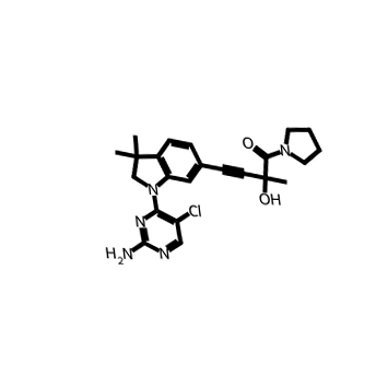 CC(O)(C#Cc1ccc2c(c1)N(c1nc(N)ncc1Cl)CC2(C)C)C(=O)N1CCCC1